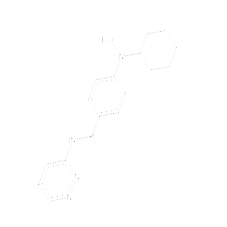 O=C(Nc1cccnn1)c1ccc(N(O)C2CCCCC2)cc1